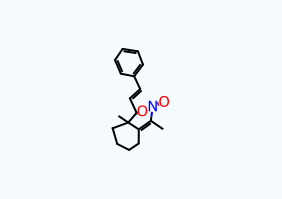 C/C(N=O)=C1\CCCCC1(C)C(=O)/C=C/c1ccccc1